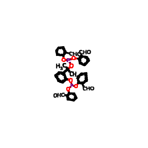 CC(C)(OP(Oc1ccccc1C=O)Oc1ccccc1C=O)c1ccccc1OP(Oc1ccccc1C=O)Oc1ccccc1C=O